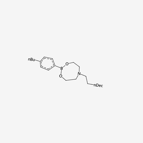 CCCCCCCCCCCCN1CCOB(c2ccc(CCCC)cc2)OCC1